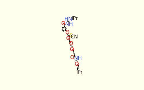 CC(C)C#CCOCCNC(=O)CCCOCCOCCO[C@@H](COc1cccc(C(=O)NCCNC(C)C)c1)SC#N